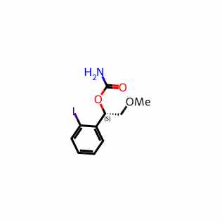 COC[C@@H](OC(N)=O)c1ccccc1I